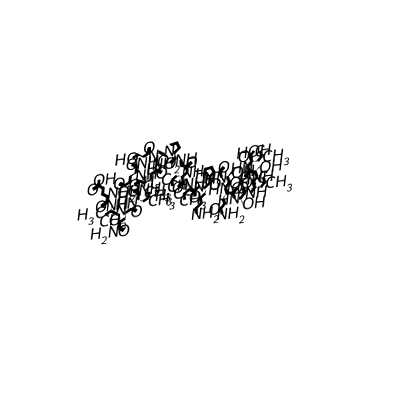 CC(C)C[C@H](NC(=O)[C@H](CO)NC(=O)[C@H](CC(C)C)NC(=O)[C@H](CO)NC(=O)[C@H](CCC(N)=O)NC(=O)[C@H](CO)NC(=O)[C@@H]1CCCN1C(=O)[C@H](CCCCN)NC(=O)[C@@H](NC(=O)[C@H](CC(C)C)NC(=O)CNC(=O)[C@@H]1CCCN1C(=O)CNC(=O)[C@H](CO)NC(=O)[C@H](CCC(=O)O)NC(=O)[C@H](CCC(N)=O)NC(=O)[C@H](CC(C)C)NC(=O)[C@H](CCC(N)=O)NC(=O)[C@@H](NC(=O)[C@@H](N)CCC(=O)O)C(C)C)C(C)C)C(=O)O